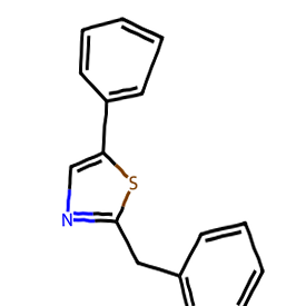 c1ccc(Cc2ncc(-c3ccccc3)s2)cc1